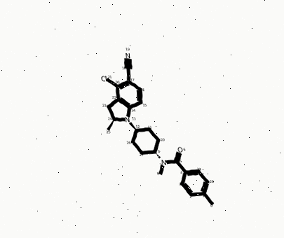 Cc1ccc(C(=O)N(C)[C@H]2CC[C@H](N3c4ccc(C#N)c(Cl)c4C[C@@H]3C)CC2)cc1